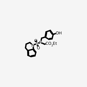 CCOC(=O)CN(Cc1ccc(O)cc1)S(=O)(=O)N1CCCc2ccccc21